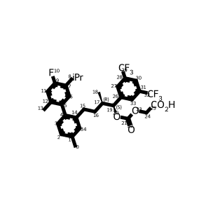 Cc1ccc(-c2cc(C(C)C)c(F)cc2C)c(CC[C@@H](C)[C@H](OC(=O)OCC(=O)O)c2cc(C(F)(F)F)cc(C(F)(F)F)c2)c1